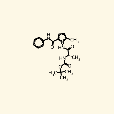 Cc1ccc(C(=O)Nc2ccccc2)n1NC(=O)[C@H](C)NC(=O)OC(C)(C)C